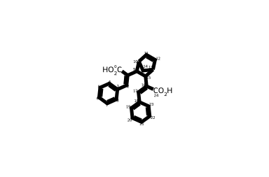 O=C(O)C(=Cc1ccccc1)C1C2C=CC(C2)C1C(=Cc1ccccc1)C(=O)O